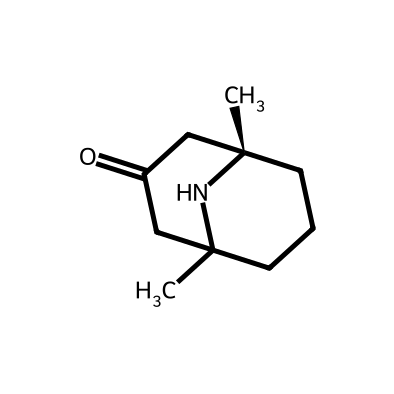 CC12CCC[C@@](C)(CC(=O)C1)N2